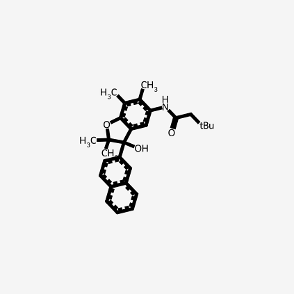 Cc1c(NC(=O)CC(C)(C)C)cc2c(c1C)OC(C)(C)C2(O)c1ccc2ccccc2c1